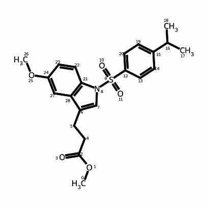 COC(=O)CCc1cn(S(=O)(=O)c2ccc(C(C)C)cc2)c2ccc(OC)cc12